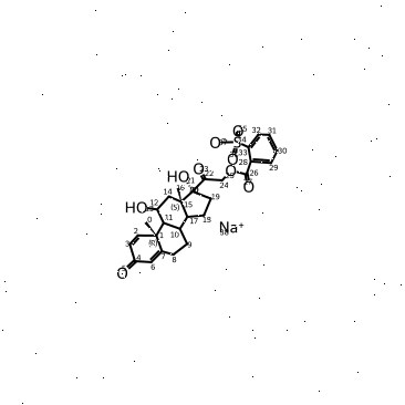 C[C@]12C=CC(=O)C=C1CCC1C2C(O)C[C@@]2(C)C1CC[C@]2(O)C(=O)COC(=O)c1ccccc1S(=O)(=O)[O-].[Na+]